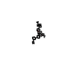 N#Cc1cccc(-c2cccc(N(CC34CCC(c5nc(C6CC6)no5)(CC3)CC4)C(=O)[C@@H]3CC4(F)CC3C4)c2)c1